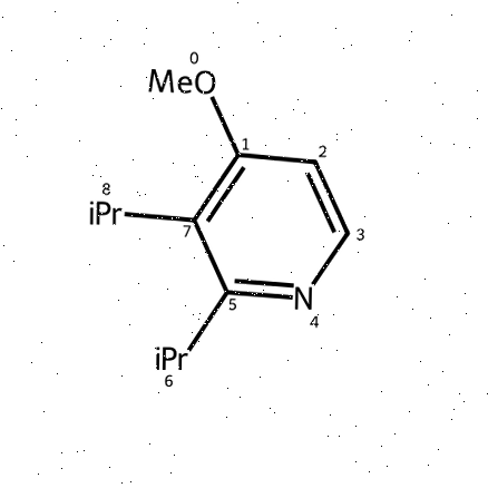 COc1ccnc(C(C)C)c1C(C)C